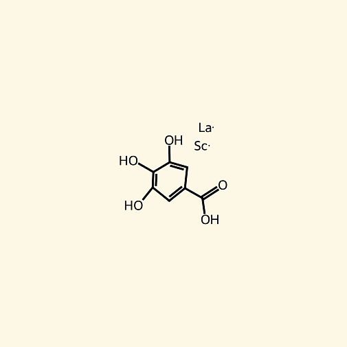 O=C(O)c1cc(O)c(O)c(O)c1.[La].[Sc]